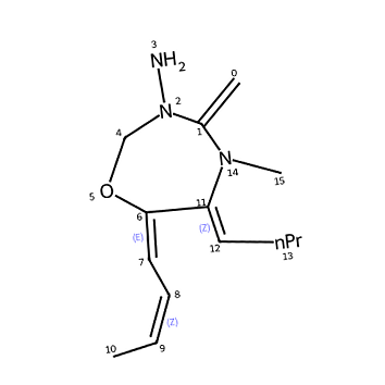 C=C1N(N)COC(=C/C=C\C)/C(=C/CCC)N1C